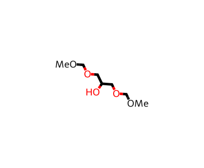 COCOCC(O)COCOC